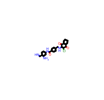 N=Cc1ccc(NC(=O)c2ccc(CNC3=C(Cl)C(=O)c4ccccc4C3=O)cc2)cc1N